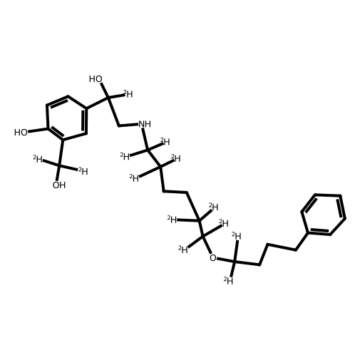 [2H]C([2H])(CCCc1ccccc1)OC([2H])([2H])C([2H])([2H])CCC([2H])([2H])C([2H])([2H])NCC([2H])(O)c1ccc(O)c(C([2H])([2H])O)c1